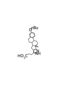 CCCCOc1ccc2c(c1)CCC1C2CC[C@]2(C)c3n[nH]c(CCC(=O)O)c3CC12